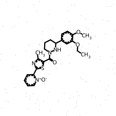 CCOc1cc(C2CCCN(C(=O)c3sc(-c4cccc[n+]4[O-])nc3C)N2)ccc1OC